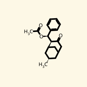 CC(=O)O[C@@H](c1ccccc1)[C@H]1C(=O)CC2CC1C[C@@H](C)C2